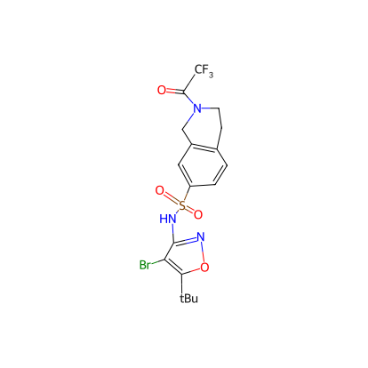 CC(C)(C)c1onc(NS(=O)(=O)c2ccc3c(c2)CN(C(=O)C(F)(F)F)CC3)c1Br